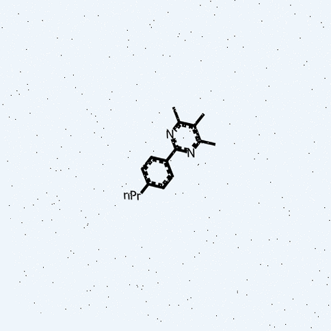 CCCc1ccc(-c2nc(C)c(C)c(C)n2)cc1